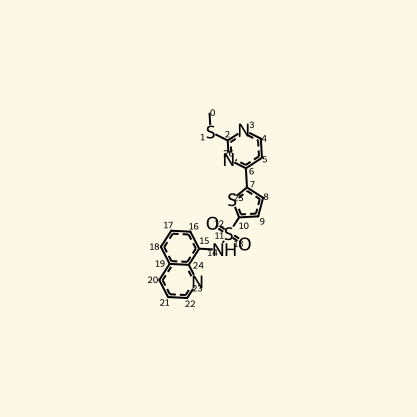 CSc1nccc(-c2ccc(S(=O)(=O)Nc3cccc4cccnc34)s2)n1